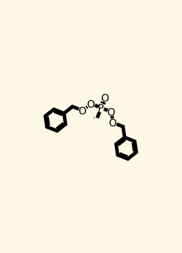 [CH2]P(=O)(OOCc1ccccc1)OOCc1ccccc1